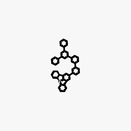 C1=CCC2C(=C1)n1c3ccccc3c3cc(-c4cccc(-c5cccc(-c6cc(-c7ccccc7)cc(-c7ccccc7)c6)c5)c4)cc2c31